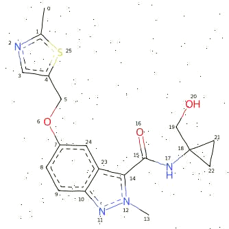 Cc1ncc(COc2ccc3nn(C)c(C(=O)NC4(CO)CC4)c3c2)s1